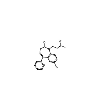 C[S+]([O-])CCN1C(=O)CN=C(c2ccccn2)c2cc(Br)ccc21